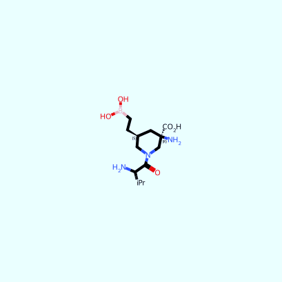 CC(C)C(N)C(=O)N1C[C@@H](CCB(O)O)C[C@](N)(C(=O)O)C1